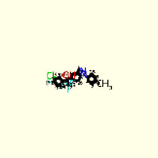 Cc1ccc(-n2ncc3cc(C(O)(c4ccc(F)c(Cl)c4)C(F)(F)F)ccc32)cc1